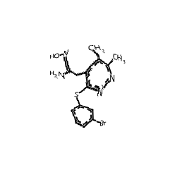 Cc1nnc(Sc2cccc(Br)c2)c(C(N)=NO)c1C